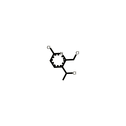 CC(Cl)c1ccc(Cl)nc1CCl